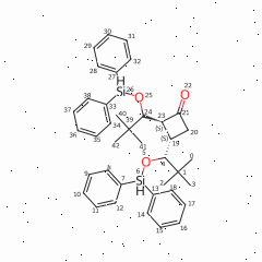 CC(C)(C)C(O[SiH](c1ccccc1)c1ccccc1)[C@H]1CC(=O)[C@@H]1C(O[SiH](c1ccccc1)c1ccccc1)C(C)(C)C